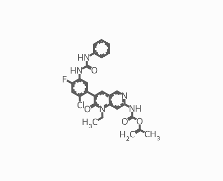 C=C(C)OC(=O)Nc1cc2c(cn1)cc(-c1cc(NC(=O)Nc3ccccc3)c(F)cc1Cl)c(=O)n2CC